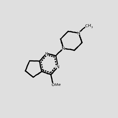 COc1nc(N2CCN(C)CC2)nc2c1CCC2